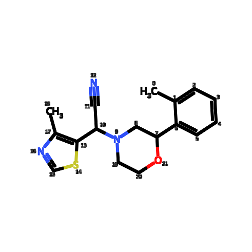 Cc1ccccc1C1CN(C(C#N)c2scnc2C)CCO1